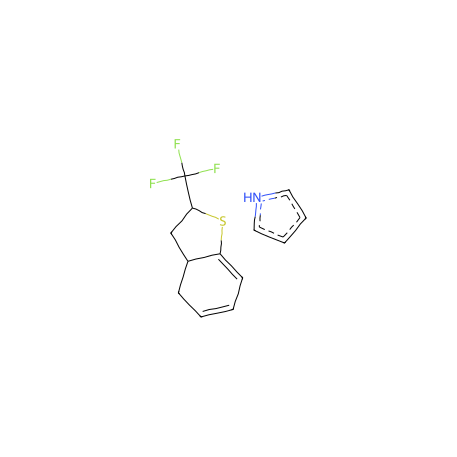 FC(F)(F)C1CC2CC=CC=C2S1.c1cc[nH]c1